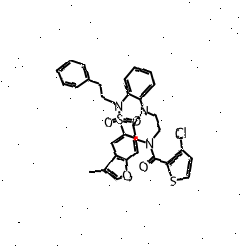 Cc1coc2ccc(S(=O)(=O)N(CCc3ccccc3)c3ccccc3N3CCN(C(=O)c4sccc4Cl)CC3)cc12